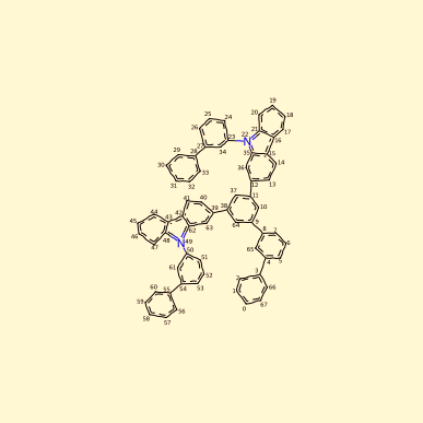 c1ccc(-c2cccc(-c3cc(-c4ccc5c6ccccc6n(-c6cccc(-c7ccccc7)c6)c5c4)cc(-c4ccc5c6ccccc6n(-c6cccc(-c7ccccc7)c6)c5c4)c3)c2)cc1